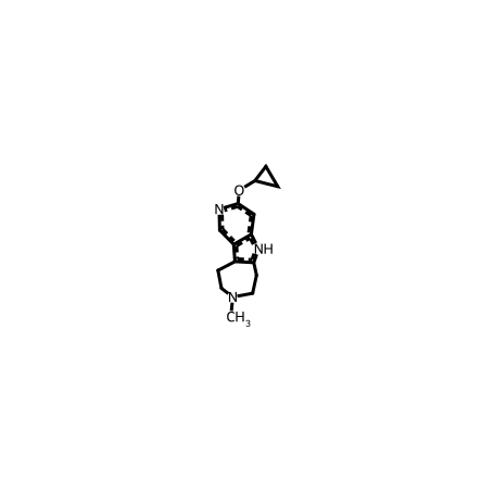 CN1CCc2[nH]c3cc(OC4CC4)ncc3c2CC1